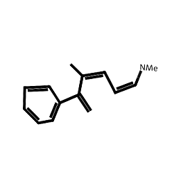 C=C(/C(C)=C\C=C/NC)c1ccccc1